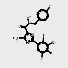 Cc1nc(-c2cc(F)c(F)c(O)c2F)sc1C(=O)N(Cc1ccc(F)cc1)C(C)C